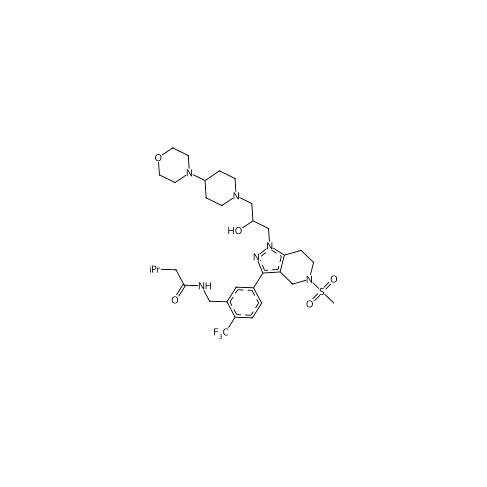 CC(C)CC(=O)NCc1cc(-c2nn(CC(O)CN3CCC(N4CCOCC4)CC3)c3c2CN(S(C)(=O)=O)CC3)ccc1C(F)(F)F